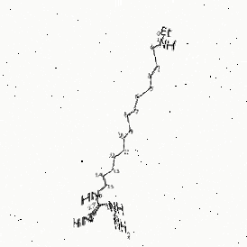 CCNCCCCCCCCCCCCCCNC(=N)NN